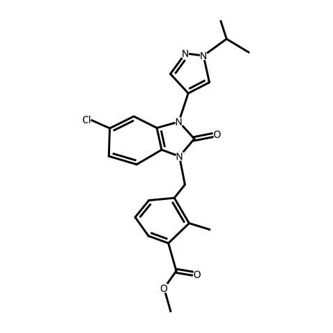 COC(=O)c1cccc(Cn2c(=O)n(-c3cnn(C(C)C)c3)c3cc(Cl)ccc32)c1C